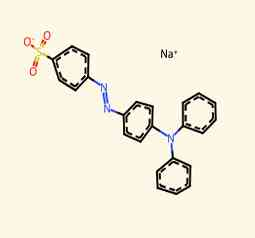 O=S(=O)([O-])c1ccc(N=Nc2ccc(N(c3ccccc3)c3ccccc3)cc2)cc1.[Na+]